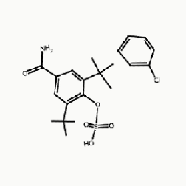 CC(C)(C)c1cc(C(N)=O)cc(C(C)(C)C)c1OS(=O)(=O)O.Clc1ccccc1